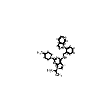 CC(C)n1cnc2c(NCc3ccccc3-n3ncc4ccncc43)nc(N3CCC(N)CC3)nc21